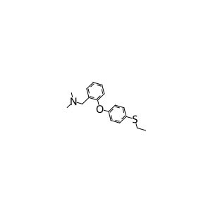 CCSc1ccc(Oc2ccccc2CN(C)C)cc1